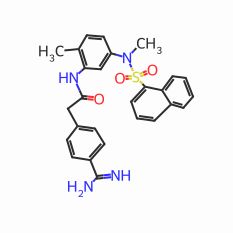 Cc1ccc(N(C)S(=O)(=O)c2cccc3ccccc23)cc1NC(=O)Cc1ccc(C(=N)N)cc1